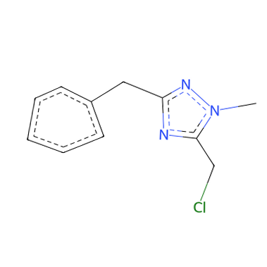 Cn1nc(Cc2ccccc2)nc1CCl